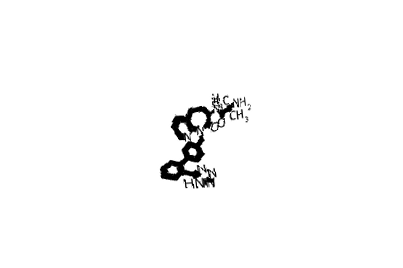 CC(C)(N)C(=O)N[C@@H]1CCc2cccnc2N(Cc2ccc(-c3ccccc3-c3nnn[nH]3)cc2)C1=O